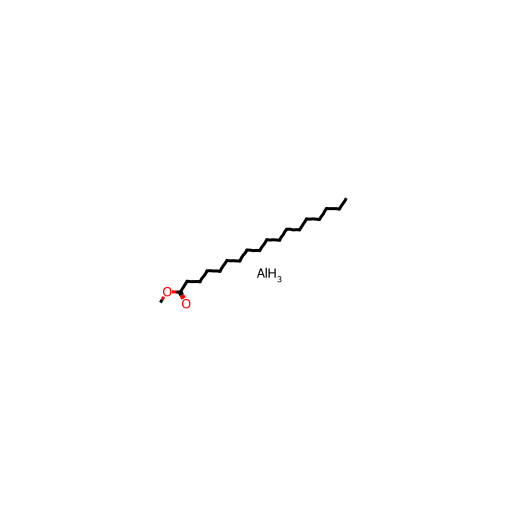 CCCCCCCCCCCCCCCCCC(=O)OC.[AlH3]